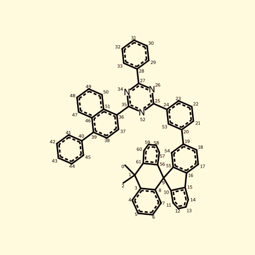 CC1(C)c2ccccc2C2(c3ccccc3-c3ccc(-c4cccc(-c5nc(-c6ccccc6)nc(-c6ccc(-c7ccccc7)c7ccccc67)n5)c4)cc32)c2ccccc21